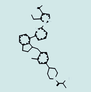 CCc1c(C(=O)O)cnn1-c1cccc(-c2cccc3c2C(Cc2ccc(C4CCN(C(=O)C(C)O)CC4)cc2C)CC3)n1